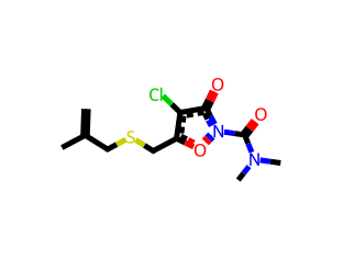 C=C(C)CSCc1on(C(=O)N(C)C)c(=O)c1Cl